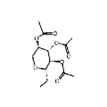 CC[C@@H]1OC[C@@H](OC(C)=O)[C@H](OC(C)=O)[C@H]1OC(C)=O